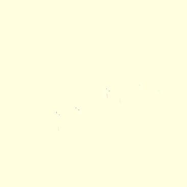 Cn1nc(C(=O)NCC(C)(C)O)c2ccccc21